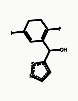 OC(C1=C(F)CCC(I)=C1)c1ccns1